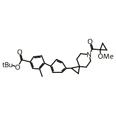 COC1(C(=O)N2CCC3(CC2)CC3c2ccc(-c3ccc(C(=O)OC(C)(C)C)cc3C)cc2)CC1